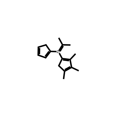 CC1=C(C)C(C)=[C]([Zr]([C]2=CC=CC2)=[C](C)C)C1